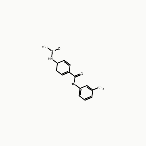 CC(C)(C)[S+]([O-])NC1C=CC(C(=O)Nc2cccc(C(F)(F)F)c2)=CC1